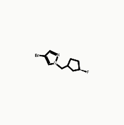 F[C@@H]1CCC(Cn2cc(Br)cn2)C1